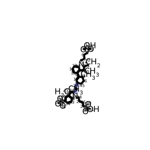 C=CC1=[N+](CCCCS(=O)(=O)O)c2cccc(C3=C/C(=C/C=C4/N(CCCCS(=O)(=O)O)c5ccc(S(=O)(=O)[O-])cc5C4(C)C)CCC3)c2C1(C)C